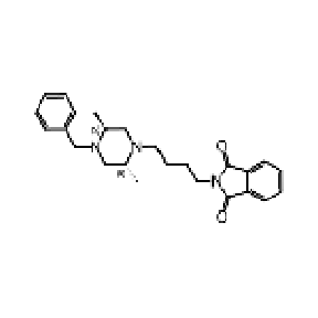 C[C@@H]1CN(Cc2ccccc2)[C@@H](C)CN1CCCCN1C(=O)c2ccccc2C1=O